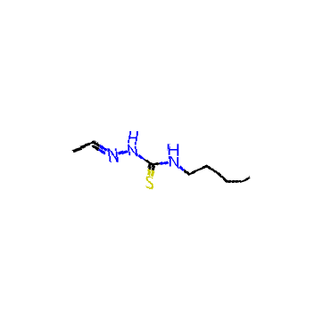 CC=NNC(=S)NCCCC